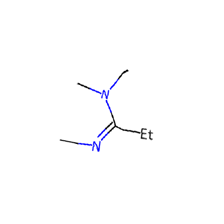 CC/C(=N/C)N(C)C